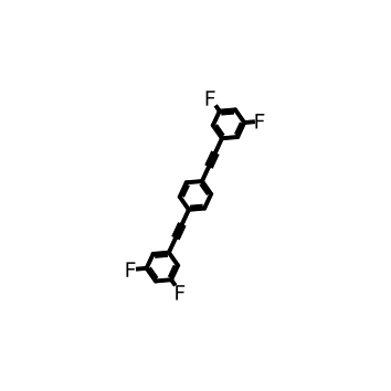 Fc1cc(F)cc(C#Cc2ccc(C#Cc3cc(F)cc(F)c3)cc2)c1